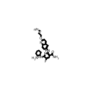 CCCOCCOc1ccc2cc(Nc3nc(NC4CCCC[C@@H]4N)c(F)cc3C(N)=O)ccc2n1